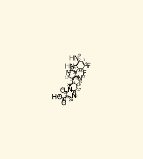 CNc1cc(F)c(F)c2c1[nH]c1ncc(-c3ccc4ncc(C(=O)O)c(=O)n4c3)c(N(C)C)c12